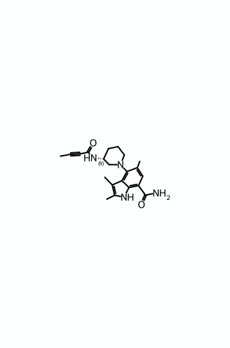 CC#CC(=O)N[C@@H]1CCCN(c2c(C)cc(C(N)=O)c3[nH]c(C)c(C)c23)C1